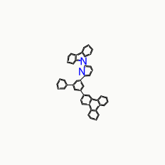 c1ccc(-c2cc(-c3ccc4c5ccccc5c5ccccc5c4c3)cc(-c3cccc(-n4c5ccccc5c5ccccc54)n3)c2)cc1